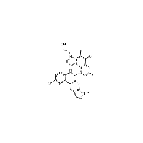 Cc1cc(C(C)Nc2ccc(Cl)nc2-c2ccc3c(cnn3C)c2)c2c(c1)c(=O)n(C)c1c2cnn1CCO